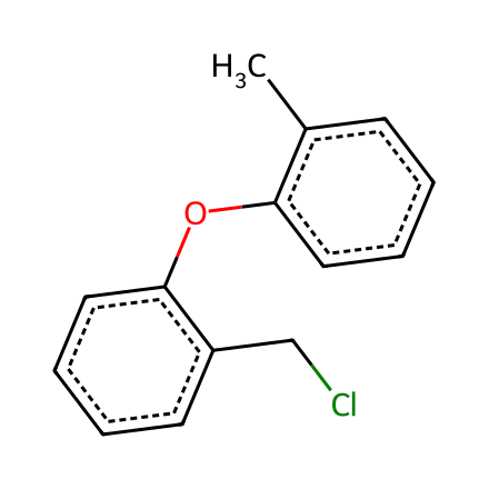 Cc1ccccc1Oc1ccccc1CCl